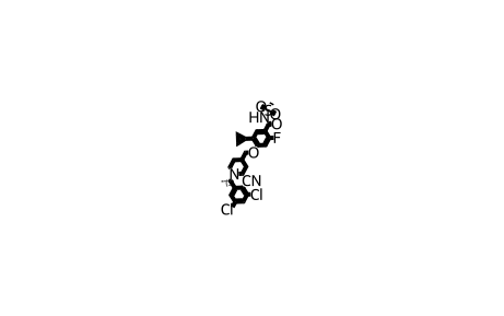 C[C@@H](c1cc(Cl)cc(Cl)c1C#N)N1CCC(COc2cc(F)c(C(=O)NS(C)(=O)=O)cc2C2CC2)CC1